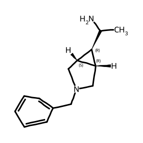 CC(N)[C@H]1[C@@H]2CN(Cc3ccccc3)C[C@@H]21